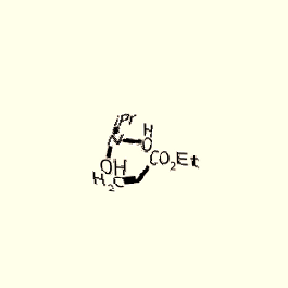 C=CC(=O)OCC.CC(C)N(O)O